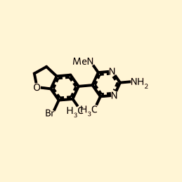 CNc1nc(N)nc(C)c1-c1cc2c(c(Br)c1C)OCC2